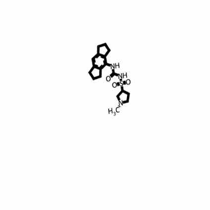 CN1CCC(S(=O)(=O)NC(=O)Nc2c3c(cc4c2CCC4)CCC3)C1